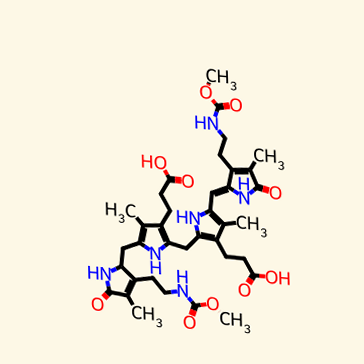 COC(=O)NCCC1=C(C)C(=O)N/C1=C\c1[nH]c(Cc2[nH]c(CC3NC(=O)C(C)=C3CCNC(=O)OC)c(C)c2CCC(=O)O)c(CCC(=O)O)c1C